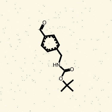 CC(C)(C)OC(=O)NCc1ccc([C]=O)cc1